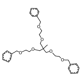 CC(COCCOCc1ccccc1)(COCCOCc1ccccc1)COCCOCc1ccccc1